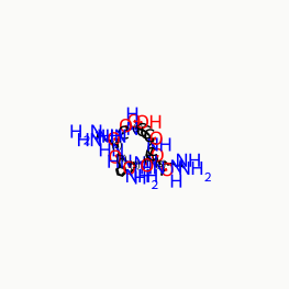 CC(=O)N[C@@H](CCCNC(=N)N)C(=O)N[C@H]1CCNC(=O)CCC[C@@H](C(=O)O)NC(=O)CNC(=O)[C@H](CCCNC(=N)N)NC(=O)[C@@H](Cc2ccccc2)NC(=O)[C@H](CCN)NC1=O